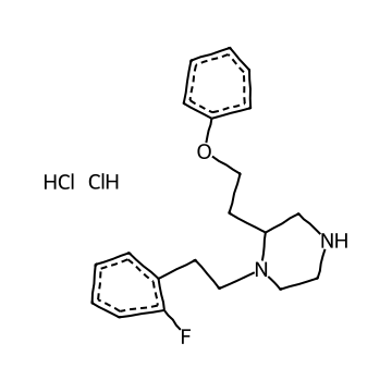 Cl.Cl.Fc1ccccc1CCN1CCNCC1CCOc1ccccc1